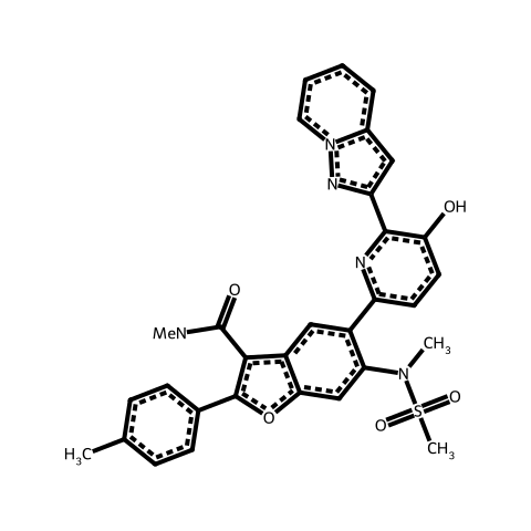 CNC(=O)c1c(-c2ccc(C)cc2)oc2cc(N(C)S(C)(=O)=O)c(-c3ccc(O)c(-c4cc5ccccn5n4)n3)cc12